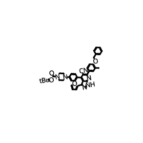 Cc1cc(-c2nc3[nH]nc(-c4ccco4)c3c(-c3ccc(N4CCN(C(=O)OC(C)(C)C)CC4)cc3)c2C#N)ccc1OCc1ccccc1